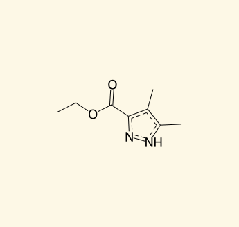 CCOC(=O)c1n[nH]c(C)c1C